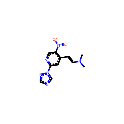 CN(C)/C=C/c1cc(-n2cncn2)ncc1[N+](=O)[O-]